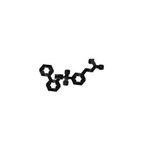 O=C(Cl)C=Cc1cccc(S(=O)(=O)Nc2ccccc2-c2ccccc2)c1